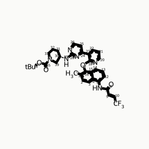 Cc1ccc2c(NC(=O)C=CC(F)(F)F)cccc2c1Oc1ncccc1-c1ccnc(N[C@H]2CCCN(C(=O)OC(C)(C)C)C2)n1